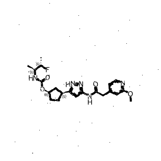 COc1cc(CC(=O)Nc2cc([C@H]3CC[C@@H](OC(=O)N[C@@H](C)[C@H](C)F)C3)[nH]n2)ccn1